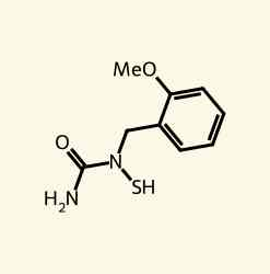 COc1ccccc1CN(S)C(N)=O